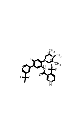 C[C@@H]1CN(c2cc(F)c(-c3cncc(C(F)(F)F)c3)cc2NC(=O)C2=CNCC=C2C(F)(F)F)C[C@H](C)N1C